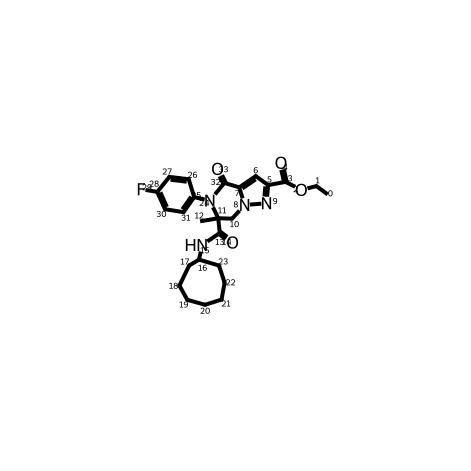 CCOC(=O)c1cc2n(n1)CC(C)(C(=O)NC1CCCCCCC1)N(c1ccc(F)cc1)C2=O